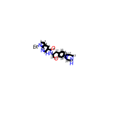 CCn1ccc2cc(C(=O)N[C@@H]3COc4cc(N5C6CCC5CNC6)ccc4C3)cnc21